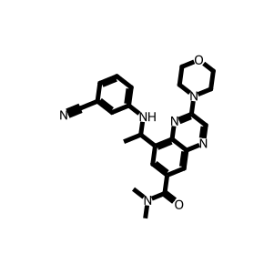 CC(Nc1cccc(C#N)c1)c1cc(C(=O)N(C)C)cc2ncc(N3CCOCC3)nc12